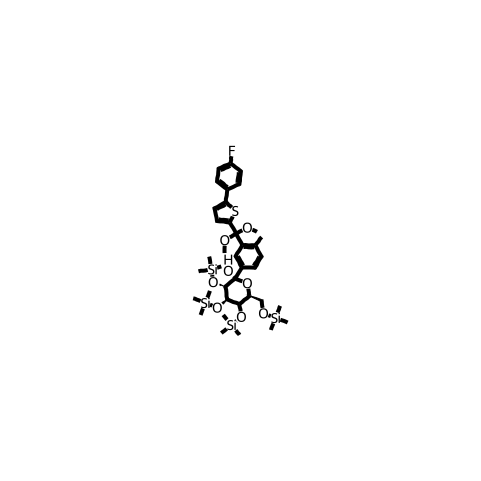 COC(OC)(c1ccc(-c2ccc(F)cc2)s1)c1cc([C@]2(O)O[C@@H](CO[Si](C)(C)C)C(O[Si](C)(C)C)[C@@H](O[Si](C)(C)C)[C@@H]2O[Si](C)(C)C)ccc1C